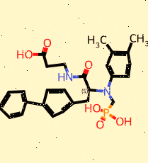 Cc1ccc(N(CP(=O)(O)O)[C@@H](Cc2ccc(-c3ccccc3)cc2)C(=O)NCCC(=O)O)cc1C